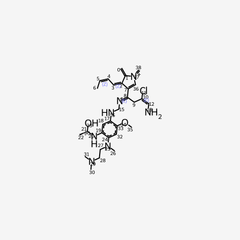 C=C1/C(=C\C=C/C)C(/C(C/C(Cl)=C\N)=N/CNc2cc(N[C@@H](C)O)c(N(C)CCN(C)C)cc2OC)=C[N+]1=C